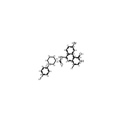 O=C(Nc1nc2c(I)c[nH]c(=O)c2c2cc(Br)ccc12)[C@H]1CCCN(c2ccc(F)cc2)C1